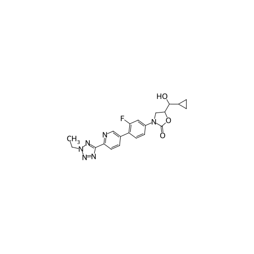 CCn1nnc(-c2ccc(-c3ccc(N4CC(C(O)C5CC5)OC4=O)cc3F)cn2)n1